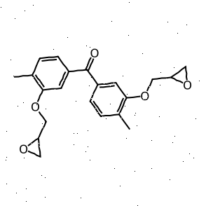 Cc1ccc(C(=O)c2ccc(C)c(OCC3CO3)c2)cc1OCC1CO1